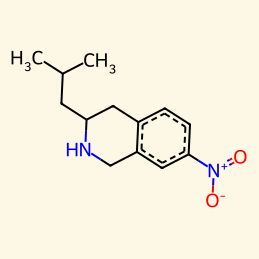 CC(C)CC1Cc2ccc([N+](=O)[O-])cc2CN1